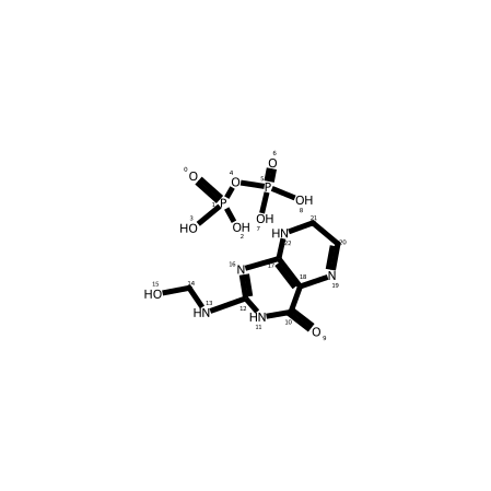 O=P(O)(O)OP(=O)(O)O.O=c1[nH]c(NCO)nc2c1N=CCN2